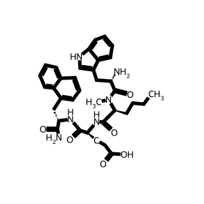 CCCC[C@@H](C(=O)N[C@@H](CCC(=O)O)C(=O)N[C@@H](Cc1cccc2ccccc12)C(N)=O)N(C)C(=O)[C@@H](N)Cc1c[nH]c2ccccc12